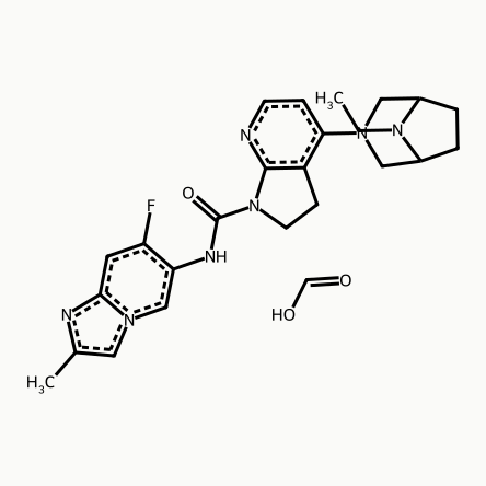 CCN1C2CCC1CN(c1ccnc3c1CCN3C(=O)Nc1cn3cc(C)nc3cc1F)C2.O=CO